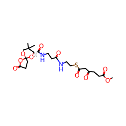 COC(=O)CCC(=O)CC(=O)SCCNC(=O)CCNC(=O)[C@@H]1OC2(CCC(=O)O2)OCC1(C)C